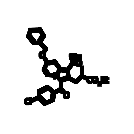 CCOC(=O)C(C)Cc1c(C(=O)C(C)(C)C)c2cc(OCc3ccccc3)ccn2c1C(=O)c1ccc(Cl)cc1